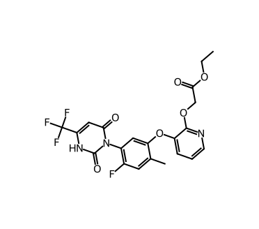 CCOC(=O)COc1ncccc1Oc1cc(-n2c(=O)cc(C(F)(F)F)[nH]c2=O)c(F)cc1C